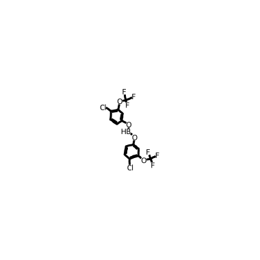 FC(F)(F)Oc1cc(OBOc2ccc(Cl)c(OC(F)(F)F)c2)ccc1Cl